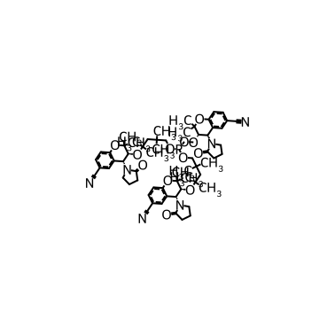 CC(C)(COP(OCC(C)(C)CC(C)(C)O[C@H]1[C@H](N2CCCC2=O)c2cc(C#N)ccc2OC1(C)C)OO[C@H]1[C@H](N2CCCC2=O)c2cc(C#N)ccc2OC1(C)C)CC(C)(C)O[C@H]1[C@H](N2CCCC2=O)c2cc(C#N)ccc2OC1(C)C